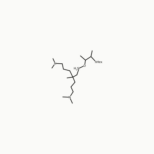 CCCCCCC(C)C(C)O[SiH2]CC(C)(CCCN(C)C)CCCN(C)C